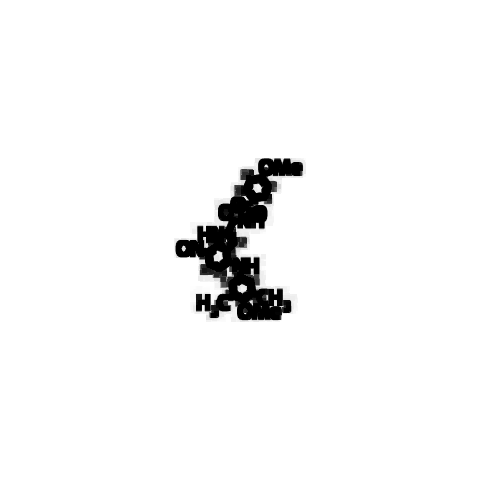 COc1ccc(S(=O)(=O)NC(=O)c2cc3c(Nc4cc(C)c(OC)c(C)c4)ccc(N=O)c3[nH]2)cc1